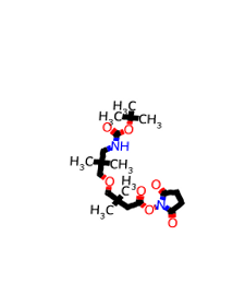 CC(C)(CNC(=O)OC(C)(C)C)COCC(C)(C)CC(=O)ON1C(=O)CCC1=O